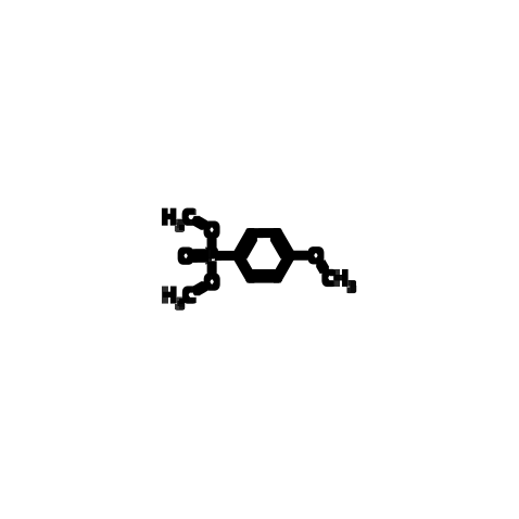 COc1ccc(P(=O)(OC)OC)cc1